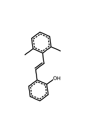 Cc1cccc(C)c1/C=C/c1ccccc1O